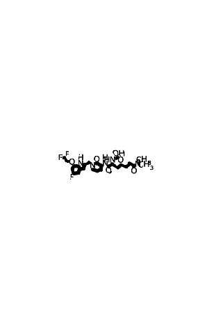 CN(C)C(=O)C=CCCC(NC(=O)O)C(=O)Nc1cccn(Cc2cc3cc(F)cc(OCC(F)F)c3[nH]2)c1=O